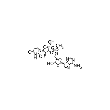 CSP(=O)(OC[C@H]1O[C@@H](n2cnc3c(N)ncnc32)C(F)C1O)OC1C(F)[C@H](n2ccc(=O)[nH]c2=O)O[C@@H]1CO